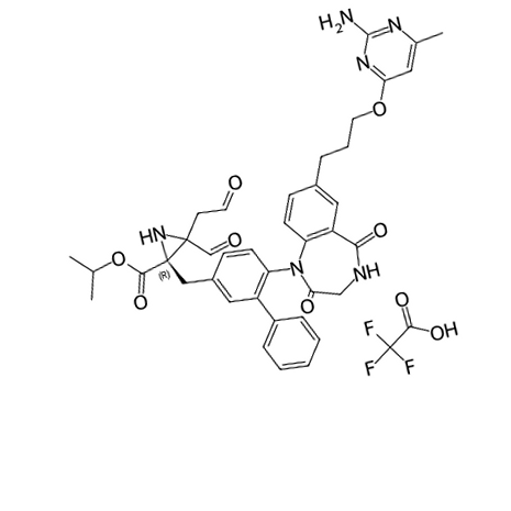 Cc1cc(OCCCc2ccc3c(c2)C(=O)NCC(=O)N3c2ccc(C[C@@]3(C(=O)OC(C)C)NC3(C=O)CC=O)cc2-c2ccccc2)nc(N)n1.O=C(O)C(F)(F)F